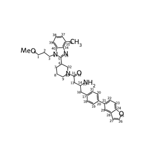 COCCCn1c(C2CCCN(C(=O)CC(N)Cc3ccc(-c4ccc5occc5c4)cc3)C2)nc2c(C)cccc21